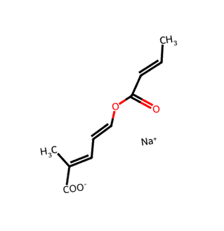 C/C=C/C(=O)OC=CC=C(C)C(=O)[O-].[Na+]